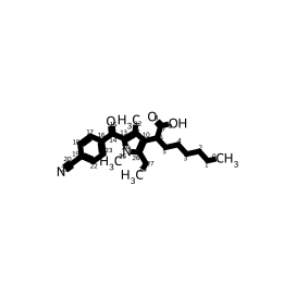 CCCCCCC(C(=O)O)c1c(C)c(C(=O)c2ccc(C#N)cc2)n(C)c1CC